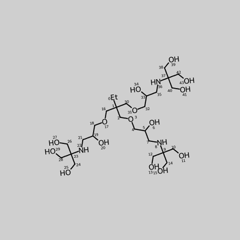 CCC(COCC(O)CNC(CO)(CO)CO)(COCC(O)CNC(CO)(CO)CO)COCC(O)CNC(CO)(CO)CO